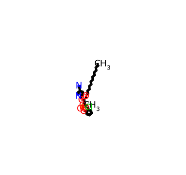 CCCCCCCCCCCCCCOC[C@H](COP(=O)(OC)Oc1ccccc1Cl)Oc1ccc(C#N)cn1